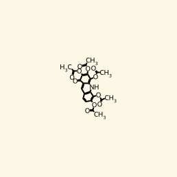 CC(=O)Oc1ccc2cc3c(=O)c(OC(C)=O)c(OC(C)=O)c(OC(C)=O)c-3[nH]c2c1OC(C)=O